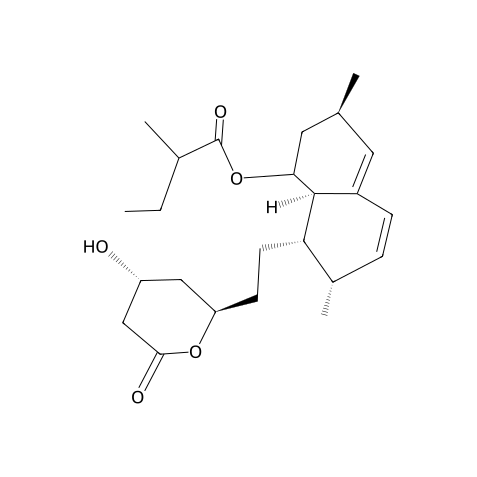 CCC(C)C(=O)OC1C[C@@H](C)C=C2C=C[C@H](C)[C@H](CC[C@@H]3C[C@@H](O)CC(=O)O3)[C@H]21